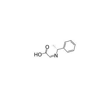 C[C@@H](/N=C\C(=O)O)c1ccccc1